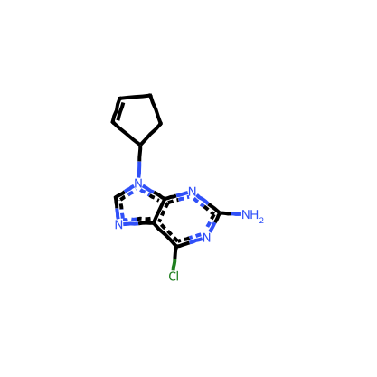 Nc1nc(Cl)c2ncn(C3C=CCC3)c2n1